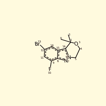 CC1(C)OCCn2nc3c(F)cc(Br)cc3c21